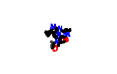 Cc1cc(-c2nc(I)c3c(C4(C#N)CC4)cc(N4CCOC[C@@H]4C)nn23)n(C2CCCCO2)n1